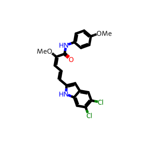 COC(=CC=Cc1cc2cc(Cl)c(Cl)cc2[nH]1)C(=O)Nc1ccc(OC)cc1